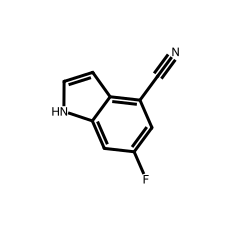 N#Cc1cc(F)cc2[nH]ccc12